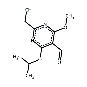 CCc1nc(OC)c(C=O)c(OC(C)C)n1